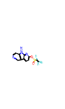 O=S(Oc1ccc2c(n1)[nH]c1ccncc12)C(F)(F)F